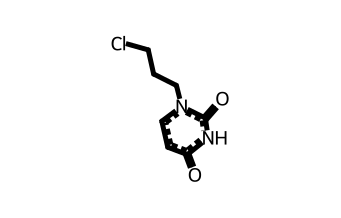 O=c1ccn(CCCCl)c(=O)[nH]1